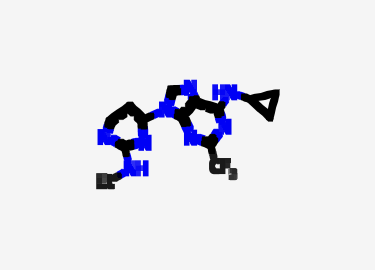 CCNc1nccc(-n2cnc3c(NC4CC4)nc(C(F)(F)F)nc32)n1